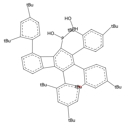 CC(C)(C)c1ccc(-c2cccc3c2-c2c-3c(-c3ccc(C(C)(C)C)cc3C(C)(C)C)c(-c3ccc(C(C)(C)C)cc3C(C)(C)C)c(-c3ccc(C(C)(C)C)cc3C(C)(C)C)c2P(O)PO)c(C(C)(C)C)c1